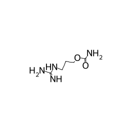 N=C(N)NCCCOC(N)=O